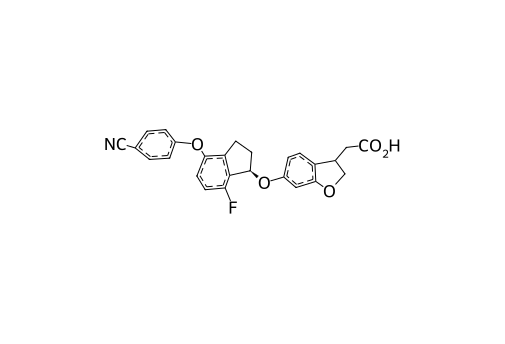 N#Cc1ccc(Oc2ccc(F)c3c2CC[C@H]3Oc2ccc3c(c2)OCC3CC(=O)O)cc1